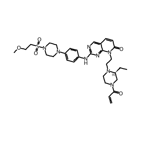 C=CC(=O)N1CCN(CCn2c(=O)ccc3cnc(Nc4ccc(N5CCN(S(=O)(=O)CCOC)CC5)cc4)nc32)[C@@H](CC)C1